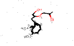 CC(O)COC(CO)Cc1cccc(C(=O)O)c1C(=O)O